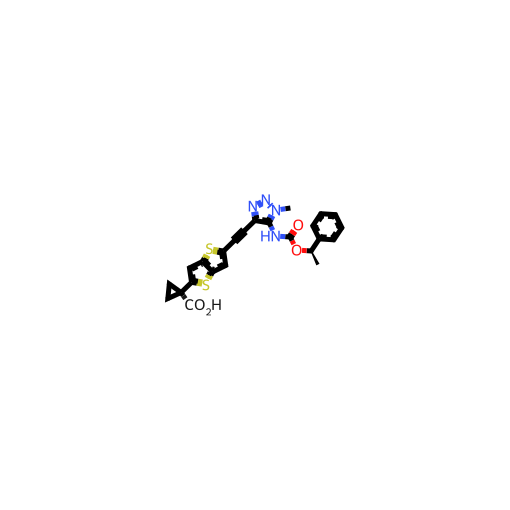 C[C@@H](OC(=O)Nc1c(C#Cc2cc3sc(C4(C(=O)O)CC4)cc3s2)nnn1C)c1ccccc1